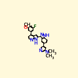 COc1cc(F)cc(-c2ccnc3[nH]c(-c4n[nH]c5ccc(-c6cncc(N(C)C)c6)cc45)cc23)c1